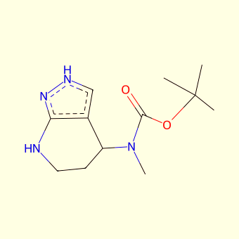 CN(C(=O)OC(C)(C)C)C1CCNc2n[nH]cc21